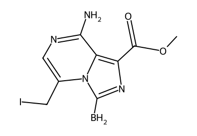 Bc1nc(C(=O)OC)c2c(N)ncc(CI)n12